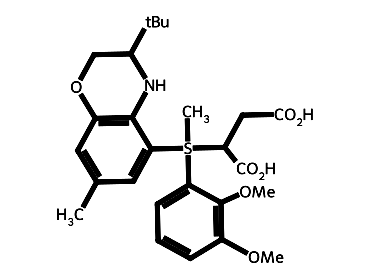 COc1cccc(S(C)(c2cc(C)cc3c2NC(C(C)(C)C)CO3)C(CC(=O)O)C(=O)O)c1OC